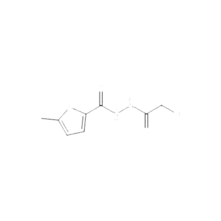 Cc1ccc(C(=O)NNC(=O)CCl)s1